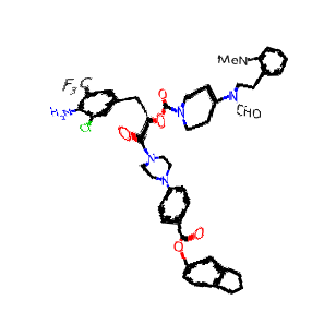 CNc1ccccc1CCN(C=O)C1CCN(C(=O)O[C@H](Cc2cc(Cl)c(N)c(C(F)(F)F)c2)C(=O)N2CCN(c3ccc(C(=O)Oc4ccc5c(c4)CCC5)cc3)CC2)CC1